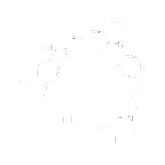 CCN(CC)CCOc1ccc(NC(=O)/C(=C\C=C\c2cc3cc(Cl)c(Cl)cc3[nH]2)OC)cn1.Cl